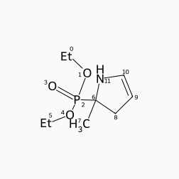 CCOP(=O)(OCC)C1(C)CC=CN1